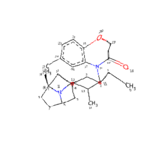 CCCCC1CC2CC[C@H](C1)N2CC(C)CN1C(=O)COc2ccc(C)cc21